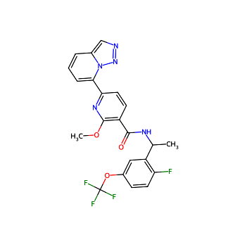 COc1nc(-c2cccc3cnnn23)ccc1C(=O)NC(C)c1cc(OC(F)(F)F)ccc1F